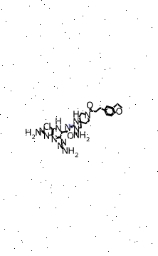 NN=NC1=NC(N=NN)=C(Cl)NC1C(=O)/N=C1/NC2(CCN(C(=O)CCc3ccc4c(c3)CCO4)CC2)CN1N